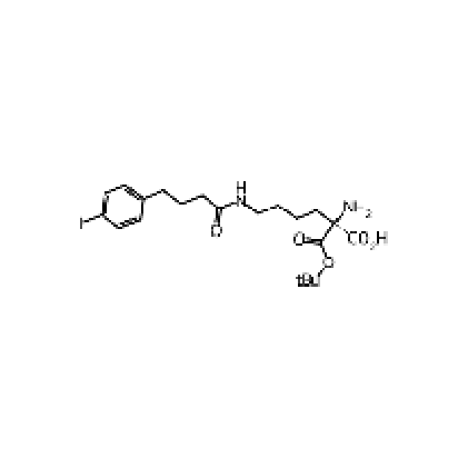 CC(C)(C)OC(=O)[C@](N)(CCCCNC(=O)CCCc1ccc(I)cc1)C(=O)O